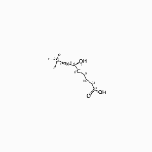 C[Si](C)(C)C#C[C@@H](O)CCCCC(=O)O